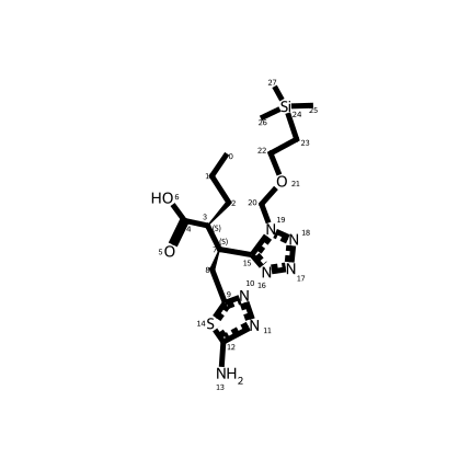 CCC[C@H](C(=O)O)[C@H](Cc1nnc(N)s1)c1nnnn1COCC[Si](C)(C)C